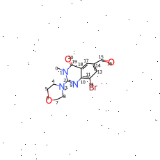 Cn1c(N2CCOCC2)nc2c(Br)cc(C=O)cc2c1=O